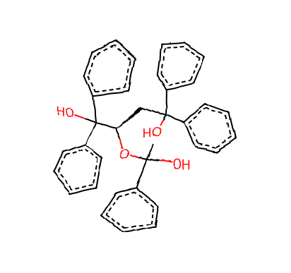 CC(O)(O[C@H](CC(O)(c1ccccc1)c1ccccc1)C(O)(c1ccccc1)c1ccccc1)c1ccccc1